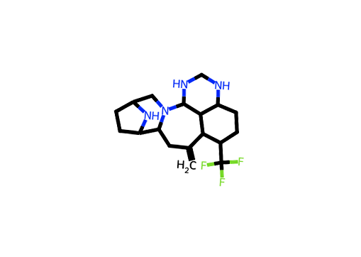 C=C1CC2C3CCC(CN2C2NCNC4CCC(C(F)(F)F)C1C42)N3